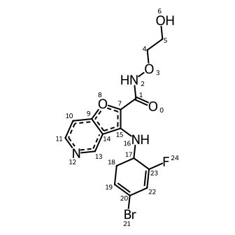 O=C(NOCCO)c1oc2ccncc2c1NC1CC=C(Br)C=C1F